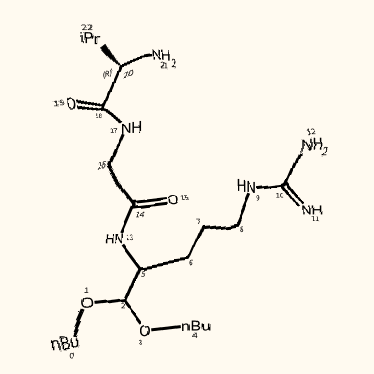 CCCCOC(OCCCC)C(CCCNC(=N)N)NC(=O)CNC(=O)[C@H](N)C(C)C